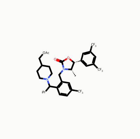 CC(=O)OCC1CCN(C(c2ccc(C(F)(F)F)cc2CN2C(=O)O[C@H](c3cc(C(F)(F)F)cc(C(F)(F)F)c3)[C@@H]2C)C(C)C)CC1